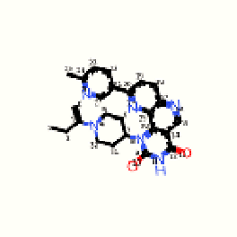 C=C(CC)N1CCC(n2c(=O)[nH]c(=O)c3cnc4ccc(-c5ccc(C)nc5)nc4c32)CC1